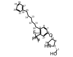 OC[C@H]1C[C@@H](Oc2ccc(CCCCCCc3ccccc3)c(C(F)(F)F)c2)CN1